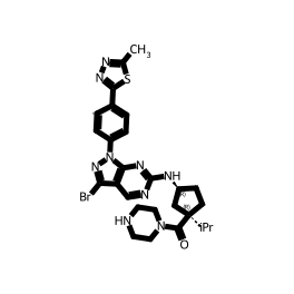 Cc1nnc(-c2[c]cc(-n3nc(Br)c4cnc(N[C@@H]5CC[C@](C(=O)N6CCNCC6)(C(C)C)C5)nc43)cc2)s1